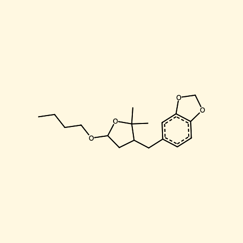 CCCCOC1CC(Cc2ccc3c(c2)OCO3)C(C)(C)O1